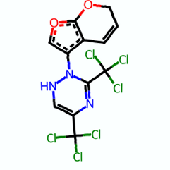 ClC(Cl)(Cl)C1=CNN(c2coc3c2C=CCO3)C(C(Cl)(Cl)Cl)=N1